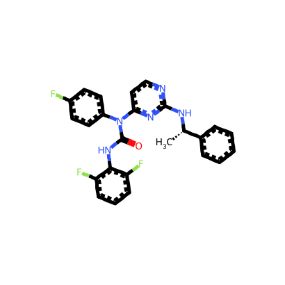 C[C@H](Nc1nccc(N(C(=O)Nc2c(F)cccc2F)c2ccc(F)cc2)n1)c1ccccc1